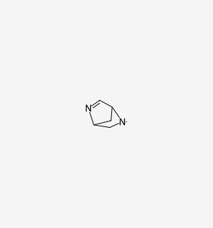 C1=NC2C[N]C1C2